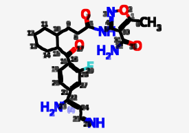 Cc1onc(NC(=O)CCC2CCCCC2C(=O)c2ccc(/C(N)=C/C=N)cc2F)c1C(N)=O